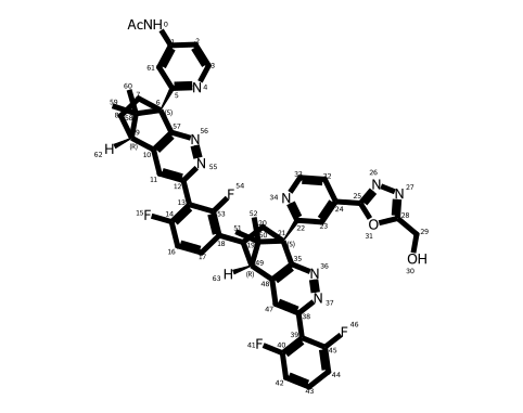 CC(=O)Nc1ccnc([C@@]23CC[C@@H](c4cc(-c5c(F)ccc(C6C[C@]7(c8cc(-c9nnc(CO)o9)ccn8)c8nnc(-c9c(F)cccc9F)cc8[C@H]6C7(C)C)c5F)nnc42)C3(C)C)c1